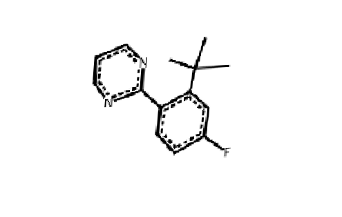 CC(C)(C)c1cc(F)ccc1-c1ncccn1